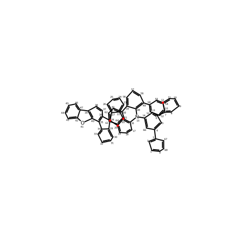 c1ccc(-c2cc(-c3ccccc3)cc(N(c3cccc4c3-c3ccccc3C43c4ccccc4-c4c3ccc3c4oc4ccccc43)c3c(-c4ccccc4)cccc3-c3ccccc3)c2)cc1